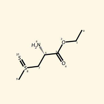 CCOC(=O)[C@@H](N)CS(C)=S